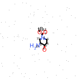 CC(C)(C)OC(=O)N1CCC(=O)C(N)C1